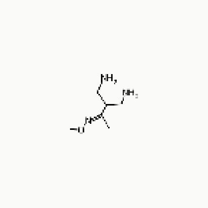 CO/N=C(\C)C(CN)CN